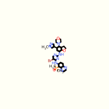 Cn1cc(-c2cc(Nc3ncc(Br)c(Nc4ccc5nccnc5c4P(C)(C)=O)n3)c3c(c2N2CCOCC2)CCO3)cn1